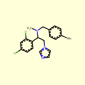 CN(Cc1ccc(C(C)(C)C)cc1)C(Cn1ccnc1)c1ccc(Cl)cc1Cl